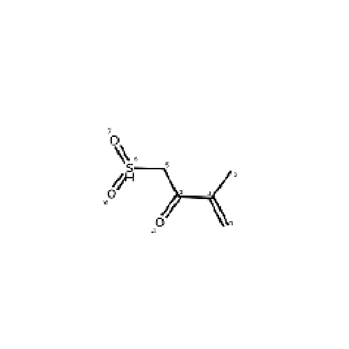 C=C(C)C(=O)C[SH](=O)=O